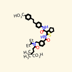 CCC(CC)N(Cc1cccc(C(=O)Nc2sc3c(c2C(=O)Nc2ccc(CCc4ccc(C(=O)O)cc4)cc2)CCC3)c1)C(=O)CCC(C)(C)C(=O)O